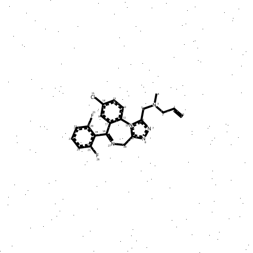 C=CCN(C)Cc1nnc2n1-c1ccc(Cl)cc1C(c1c(F)cccc1F)=NC2